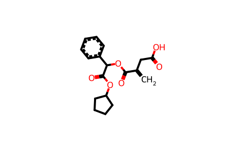 C=C(CC(=O)O)C(=O)OC(C(=O)OC1CCCC1)c1ccccc1